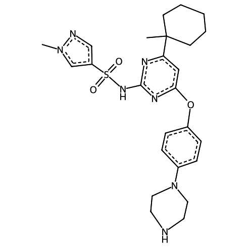 Cn1cc(S(=O)(=O)Nc2nc(Oc3ccc(N4CCNCC4)cc3)cc(C3(C)CCCCC3)n2)cn1